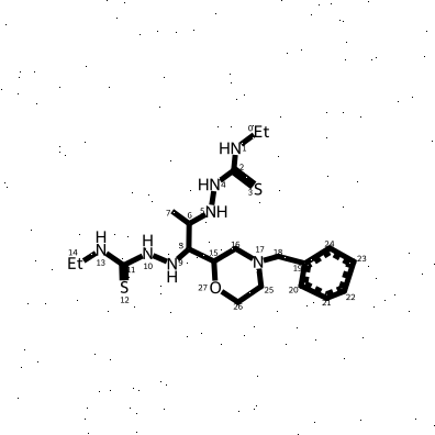 CCNC(=S)NNC(C)C(NNC(=S)NCC)C1CN(Cc2ccccc2)CCO1